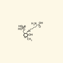 Cc1ncc(COP(=O)(O)O)c(C=NCCCC[C@H](N)C(=O)O)c1O